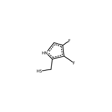 Fc1c[nH]c(CS)c1F